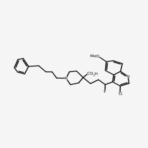 COc1ccc2ncc(Cl)c(C(F)CCC3(C(=O)O)CCN(CCCCc4ccccc4)CC3)c2c1